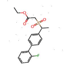 CCOC(=O)CS(=O)(=O)C(C)c1ccc(-c2ccccc2F)cc1